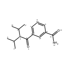 CC(C)N(C(=O)c1cncc(C(N)=O)c1)C(C)C